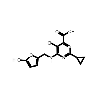 Cc1ccc(CNc2nc(C3CC3)nc(C(=O)O)c2Cl)o1